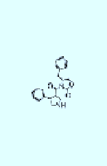 O=C1OC[C@H](Cc2ccccc2)N1C(=O)C1CNCC1c1ccccc1